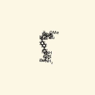 CC[C@@H](C)[C@H](N)C(=O)N1CCC[C@H]1c1nc2ncc(-c3ccc4cc(-c5cnc([C@@H]6CCCN6C(=O)[C@@H](NC(=O)OC)[C@H](C)CC)[nH]5)ccc4c3)cc2[nH]1